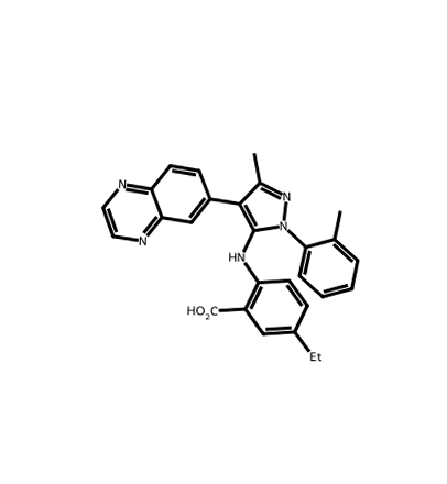 CCc1ccc(Nc2c(-c3ccc4nccnc4c3)c(C)nn2-c2ccccc2C)c(C(=O)O)c1